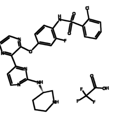 O=C(O)C(F)(F)F.O=S(=O)(Nc1ccc(Oc2nccnc2-c2ccnc(N[C@H]3CCCNC3)n2)cc1F)c1ccccc1Cl